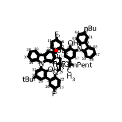 CCCCCC(C)(C)c1cc(-c2cc(F)ccc2OCC(F)(F)COc2ccc(F)cc2-c2cc(C(C)(C)C)cc(-n3c4ccccc4c4cc(CCCC)ccc43)c2O)c(O)c(-n2c3ccccc3c3cc(CCCC)ccc32)c1